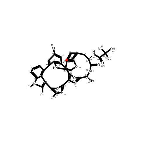 CCn1c(Cl)c2c3c(cccc31)-c1cc(Cl)cc3c1NC1Oc4ccc5cc4[C@]31c1oc(nc1-c1nc(Cl)c-2o1)[C@H](C(C)C)NC(=O)[C@@H](NC(=O)C(O)(CC)CC)C5